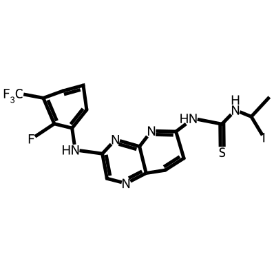 CC(I)NC(=S)Nc1ccc2ncc(Nc3cccc(C(F)(F)F)c3F)nc2n1